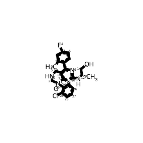 Cc1cc(F)ccc1-c1nc(N[C@@H](C)CO)nc2c1CNC[N+]2([O-])c1ccccc1Cl